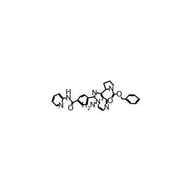 N[N+]12C=CN=CC1=C(C1CCCN1C(=O)OCc1ccccc1)N=C2c1ccc(C(=O)Nc2ccccn2)cc1